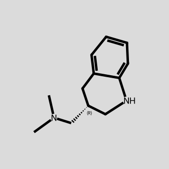 CN(C)C[C@H]1CNc2ccccc2C1